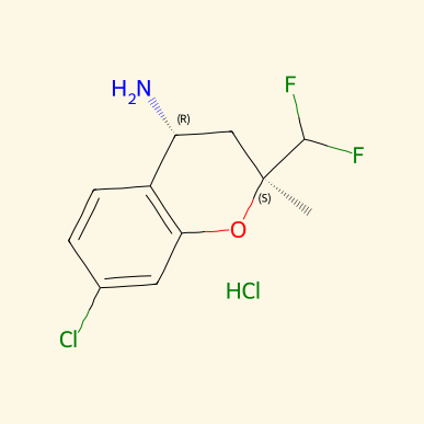 C[C@@]1(C(F)F)C[C@@H](N)c2ccc(Cl)cc2O1.Cl